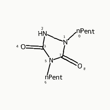 CCCCCn1[nH]c(=O)n(CCCCC)c1=O